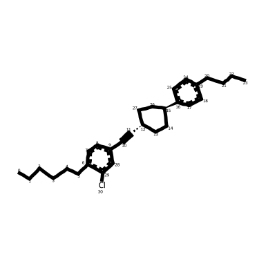 CCCCCCc1ccc(C#C[C@H]2CC[C@H](c3ccc(CCCC)cc3)CC2)cc1Cl